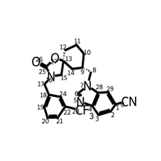 N#Cc1ccc2ncn(C[C@H]3CCC[C@]4(C3)CN(Cc3cccc(C(F)(F)F)c3)C(=O)O4)c2c1